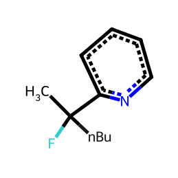 CCCCC(C)(F)c1ccccn1